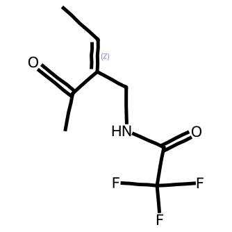 C/C=C(/CNC(=O)C(F)(F)F)C(C)=O